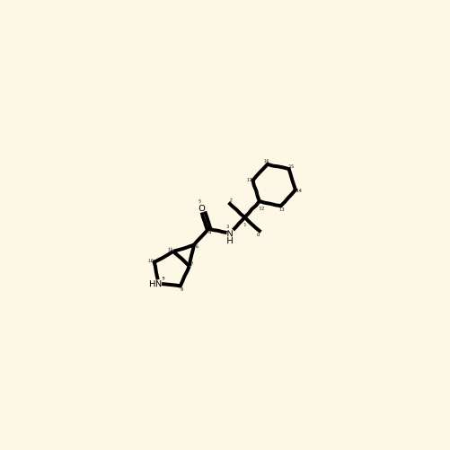 CC(C)(NC(=O)C1C2CNCC21)C1CCCCC1